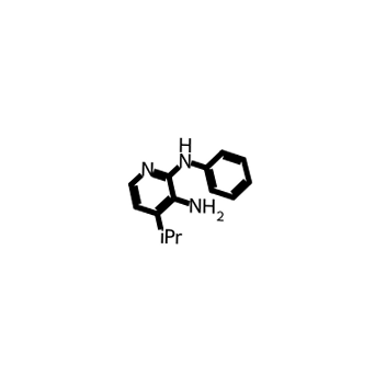 CC(C)c1ccnc(Nc2ccccc2)c1N